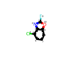 Fc1nc2c(Cl)cccc2o1